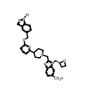 CCn1ncc2cc(COc3cccc(C4CCN(Cc5nc6ccc(C(=O)O)cc6n5C[C@@H]5CCO5)CC4)n3)ccc21